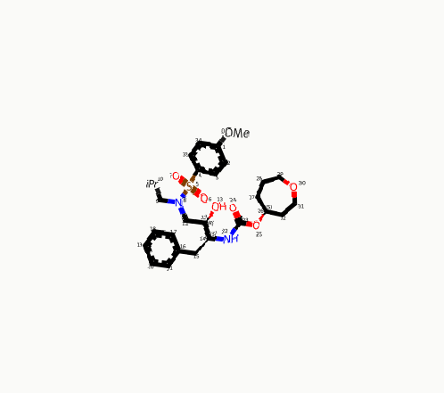 COc1ccc(S(=O)(=O)N(CC(C)C)C[C@@H](O)[C@H](Cc2ccccc2)NC(=O)O[C@H]2CCCOCC2)cc1